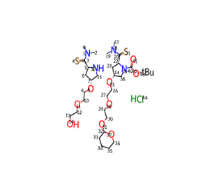 CN(C)C(=S)[C@@H]1C[C@@H](OCCOCCO)CN1.CN(C)C(=S)[C@@H]1C[C@@H](OCCOCCOC2CCCCO2)CN1C(=O)OC(C)(C)C.Cl